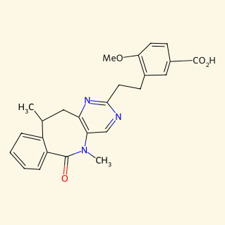 COc1ccc(C(=O)O)cc1CCc1ncc2c(n1)CC(C)c1ccccc1C(=O)N2C